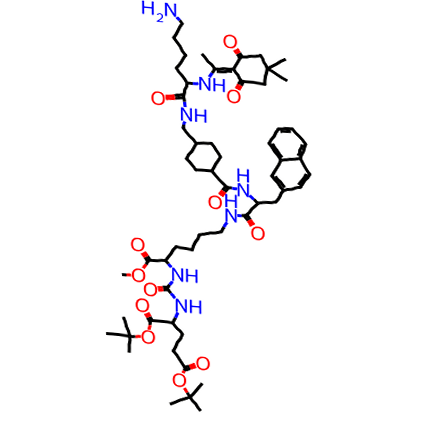 COC(=O)C(CCCCNC(=O)C(Cc1ccc2ccccc2c1)NC(=O)C1CCC(CNC(=O)C(CCCCN)NC(C)=C2C(=O)CC(C)(C)CC2=O)CC1)NC(=O)NC(CCC(=O)OC(C)(C)C)C(=O)OC(C)(C)C